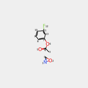 C1=NO1.CC(=O)Oc1cccc(F)c1